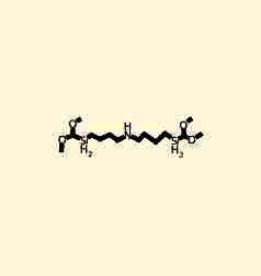 COC(OC)[SiH2]CCCCNCCCC[SiH2]C(OC)OC